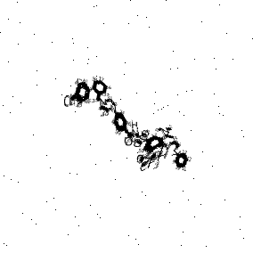 CN(C)CC[C@H](CSc1ccccc1)Nc1ccc(S(=O)(=O)NC(=O)c2ccc(N3CCN(CC4CCCC[C@H]4c4ccc(Cl)cc4)CC3)cc2)cc1S(=O)(=O)C(F)(F)F